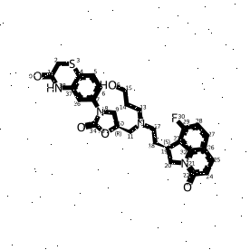 O=C1CSc2ccc(N3C[C@@H](CN(CCCO)CC[C@@H]4Cn5c(=O)ccc6ccc(F)c4c65)OC3=O)cc2N1